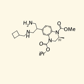 COC(=O)N1c2ccc(C(CN)CNCC3CCC3)cc2N(C(=O)OC(C)C)C[C@@H]1C